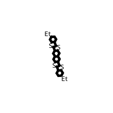 CCc1ccc2c(c1)sc1c3cc4cc5sc6c7ccc(CC)cc7sc6c5cc4cc3sc21